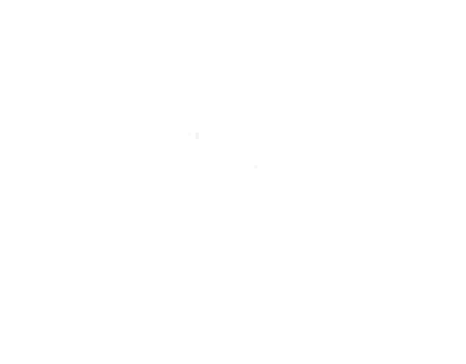 CCN1CC2C(C1)C2CN(Cc1cccc(OC(F)(F)F)c1)C(=O)c1cc(C2CC2)n[nH]1